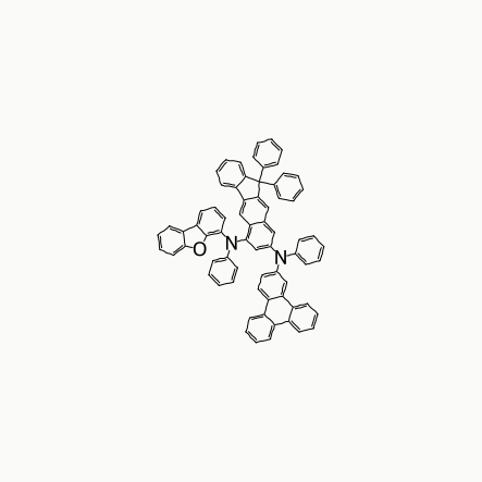 c1ccc(N(c2cc(N(c3ccccc3)c3cccc4c3oc3ccccc34)c3cc4c(cc3c2)C(c2ccccc2)(c2ccccc2)c2ccccc2-4)c2ccc3c4ccccc4c4ccccc4c3c2)cc1